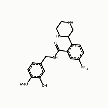 COc1ccc(CNC(=O)c2cc([N+](=O)[O-])ccc2C2CNCCN2)cc1O